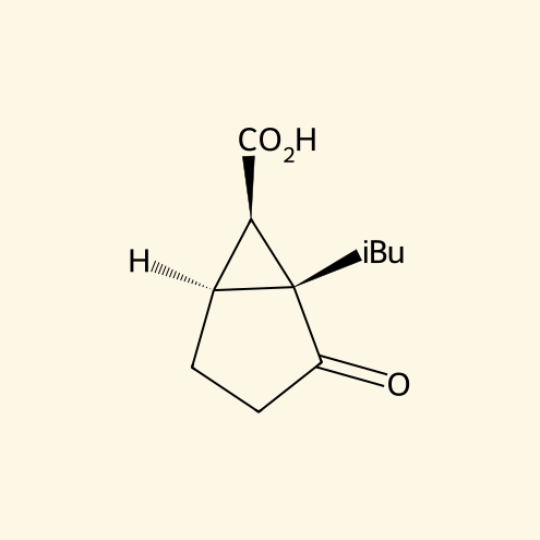 CCC(C)[C@@]12C(=O)CC[C@H]1[C@H]2C(=O)O